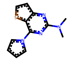 CN(C)c1nc(-n2cccc2)c2sccc2n1